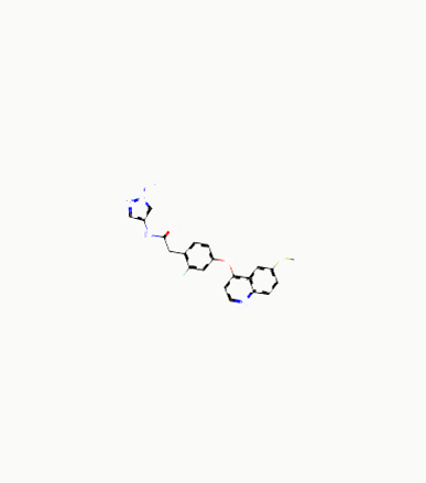 CCSc1ccc2nccc(Oc3ccc(CC(=O)Nc4cnn(C(C)(C)C)c4)c(F)c3)c2c1